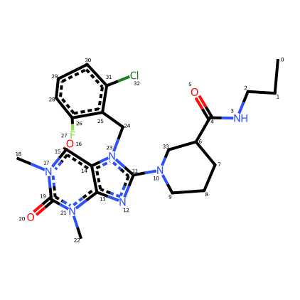 CCCNC(=O)C1CCCN(c2nc3c(c(=O)n(C)c(=O)n3C)n2Cc2c(F)cccc2Cl)C1